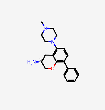 CN1CCN(c2ccc(-c3ccccc3)c3c2C[C@H](N)CO3)CC1